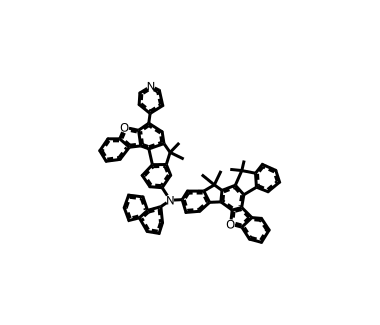 CC1(C)c2cc(N(c3ccc4c(c3)C(C)(C)c3c5c(c6c(oc7ccccc76)c3-4)-c3ccccc3C5(C)C)c3cccc4ccccc34)ccc2-c2c1cc(-c1ccncc1)c1oc3ccccc3c21